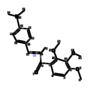 COc1ccc(C(=O)/C(C)=C/c2ccc(N(C)C)cc2)c(OC)c1OC